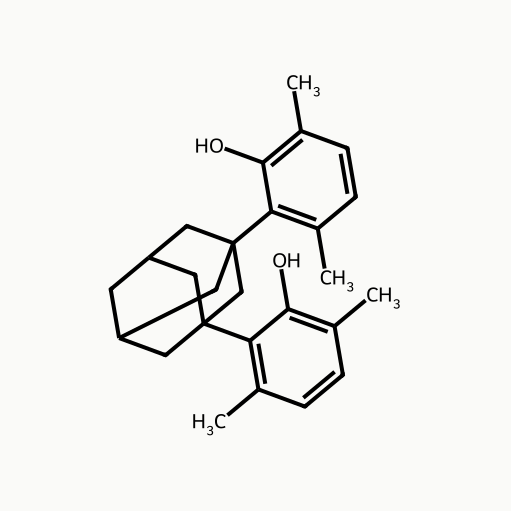 Cc1ccc(C)c(C23CC4CC(C2)CC(c2c(C)ccc(C)c2O)(C4)C3)c1O